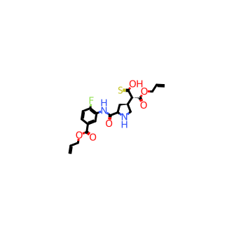 C=CCOC(=O)c1ccc(F)c(NC(=O)C2C[C@@H]([C@@H](C(=O)OCC=C)C(O)=S)CN2)c1